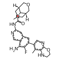 Cc1c(-c2cc3cc(NC(=O)OC4[C@@H]5COC[C@H]4CN(C)C5)ncc3c(N)c2F)cnc2c1NCCO2